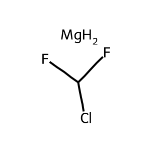 FC(F)Cl.[MgH2]